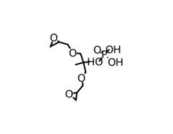 CC(C)(COCC1CO1)COCC1CO1.O=P(O)(O)O